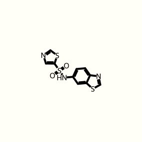 O=S(=O)(Nc1ccc2ncsc2c1)c1cncs1